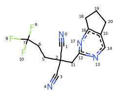 N#CC(C#N)(CCC(F)(F)F)Cc1ncc2c(n1)CCC2